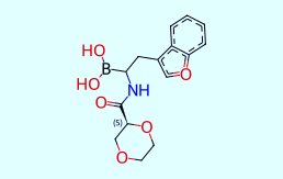 O=C(NC(Cc1coc2ccccc12)B(O)O)[C@@H]1COCCO1